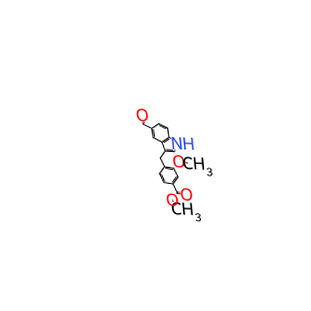 COC(=O)c1ccc(Cc2c[nH]c3ccc(C=O)cc23)c(OC)c1